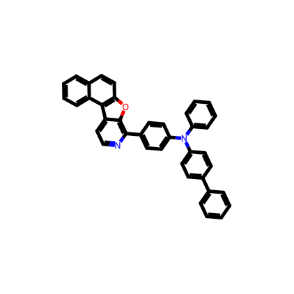 c1ccc(-c2ccc(N(c3ccccc3)c3ccc(-c4nccc5c4oc4ccc6ccccc6c45)cc3)cc2)cc1